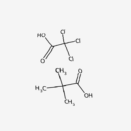 CC(C)(C)C(=O)O.O=C(O)C(Cl)(Cl)Cl